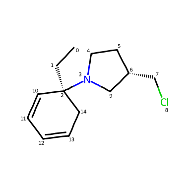 CC[C@@]1(N2CC[C@H](CCl)C2)C=CC=CC1